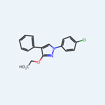 O=C(O)COc1nn(-c2ccc(Cl)cc2)cc1-c1ccccc1